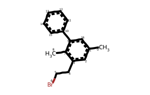 Cc1cc(CCBr)c(C)c(-c2ccccc2)c1